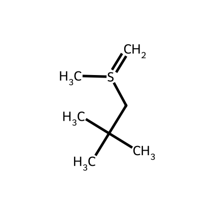 C=S(C)CC(C)(C)C